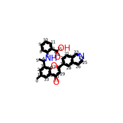 Cc1cc(C(C)Nc2ccccc2C(=O)O)c2oc(-c3ccc4cnccc4c3)cc(=O)c2c1